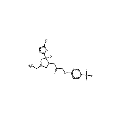 CCN1CC(OC(=O)COc2ccc(C(F)(F)F)cc2)[N+]([O-])(c2ncc(Cl)s2)C1